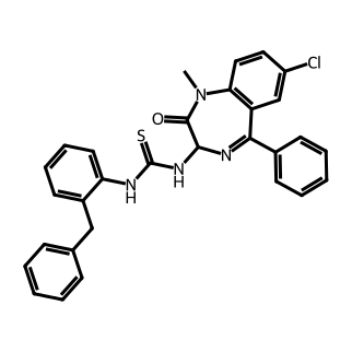 CN1C(=O)C(NC(=S)Nc2ccccc2Cc2ccccc2)N=C(c2ccccc2)c2cc(Cl)ccc21